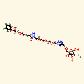 C[C@@H]1[C@@H](O)[C@@H](O)[C@@H](COCCc2cn(CCOCCOCCOCCNC(=O)CCOCCOCCC(=O)Oc3cc(F)c(F)c(F)c3F)nn2)O[C@H]1O